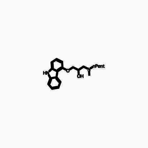 CCCCCN(C)CC(O)COc1cccc2[nH]c3ccccc3c12